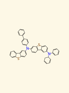 C1=CCC(N(c2ccccc2)c2ccc3sc4cc(N(c5ccc(-c6ccccc6)cc5)c5ccc6sc7ccccc7c6c5)ccc4c3c2)C=C1